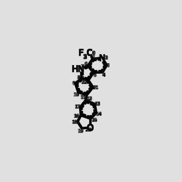 FC(F)(F)c1nccc2c1[nH]c1ccc(-c3ccc4c(c3)CCO4)cc12